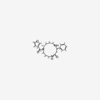 O=C1CC(c2ccccc2)NCCCCN(C(=O)c2ccoc2)CCCN1